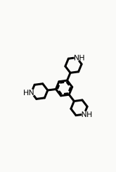 c1c(C2CCNCC2)cc(C2CCNCC2)cc1C1CCNCC1